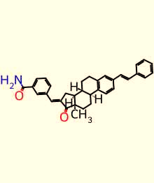 C[C@]12CC[C@@H]3c4ccc(/C=C/c5ccccc5)cc4CC[C@H]3[C@@H]1C/C(=C\c1cccc(C(N)=O)c1)C2=O